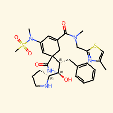 Cc1csc(CN(C)C(=O)C2=CC(N(C)S(C)(=O)=O)=CC(C(N)=O)([C@H](Cc3ccccc3)[C@@H](O)[C@H]3CCCN3)C2)n1